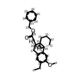 CCc1cc2c(cc1OC)[C@]13CCCC[C@@H]1[C@H](C2)N(C(=O)OCc1ccccc1)CC3